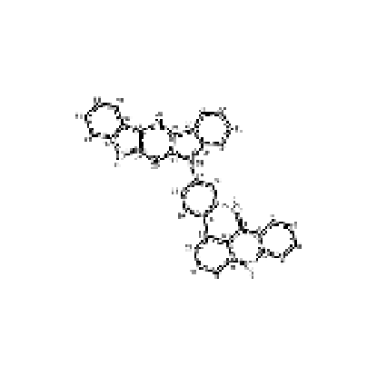 O=c1c2ccccc2oc2cccc(-c3ccc(-n4c5ccccc5c5nc6c(cc54)oc4ccccc46)cc3)c12